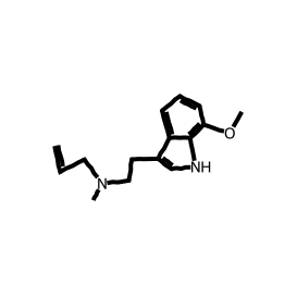 C=CCN(C)CCc1c[nH]c2c(OC)cccc12